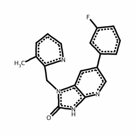 Cc1cccnc1Cn1c(=O)[nH]c2ncc(-c3cccc(F)c3)cc21